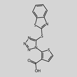 O=C(O)c1ccsc1-n1nnnc1Sc1nc2ccccc2s1